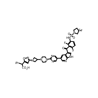 CC(C)C(C(=O)O)c1cc(N2CC(N3CCN(c4ncc(-c5cnc6[nH]cc(C(=O)c7c(F)ccc(NS(=O)(=O)N8CC[C@@H](F)C8)c7F)c6c5)cn4)CC3)C2)no1